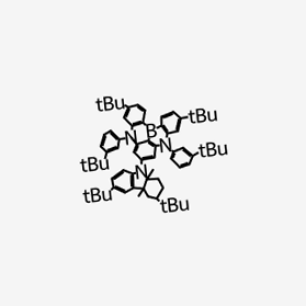 CC(C)(C)c1cccc(N2c3cc(C(C)(C)C)ccc3B3c4ccc(C(C)(C)C)cc4N(c4cccc(C(C)(C)C)c4)c4cc(N5c6ccc(C(C)(C)C)cc6C6(C)CC(C(C)(C)C)CCC56C)cc2c43)c1